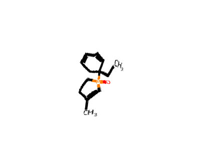 CCC1(P2(=O)C=C(C)CC2)C=CC=CC1